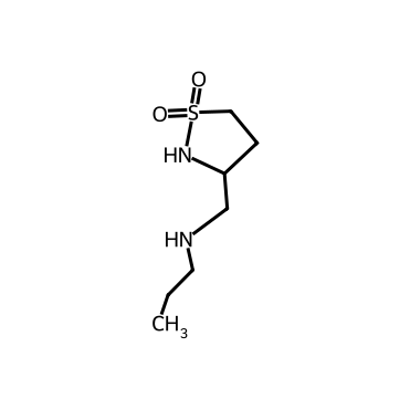 CCCNCC1CCS(=O)(=O)N1